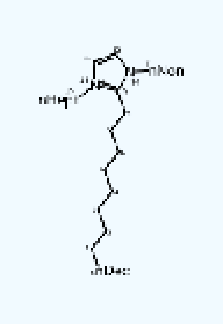 CCCCCCCCCCCCCCCCCCc1n(CCCCCCCCC)cc[n+]1CCCCCCC